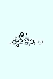 Cc1cc(Cl)c(C(=O)CN(C(=O)c2cnn([C@H]3CC[C@](C)(C(=O)O)CC3)c2C(F)(F)F)[C@H]2C[C@@H]3CC[C@H]2C3)c(Cl)c1